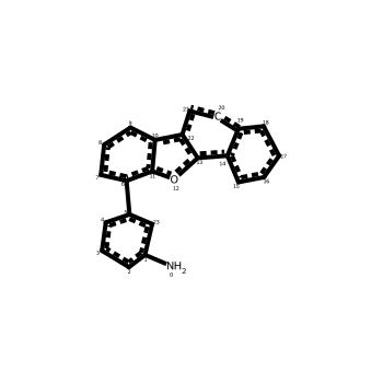 Nc1cccc(-c2cccc3c2oc2c4ccccc4ccc32)c1